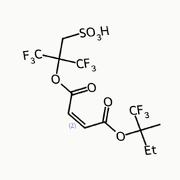 CCC(C)(OC(=O)/C=C\C(=O)OC(CS(=O)(=O)O)(C(F)(F)F)C(F)(F)F)C(F)(F)F